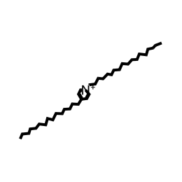 CCCCCCCCCCCCCCCCCC[n+]1ccc(CCCCCCCCCCCCCCC)cc1